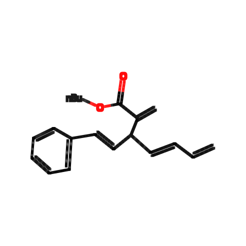 C=CC=CC(C=Cc1ccccc1)C(=C)C(=O)OCCCC